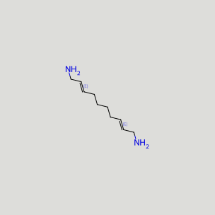 NC/C=C/CCCC/C=C/CN